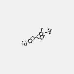 Fc1cc2cc(-c3ccc4cc(C5CCCCO5)ccc4c3)cc(F)c2c(F)c1C#CC(F)(F)F